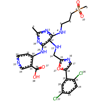 Cc1nc(NCCCS(C)(=O)=O)c(NCc2ncc(-c3cc(Cl)ccc3Cl)o2)c(Nc2ccncc2C(=O)O)n1